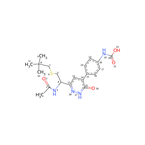 CC(=O)NC(CSCC(C)(C)C)c1cc(-c2ccc(NC(=O)O)cc2)c(=O)[nH]n1